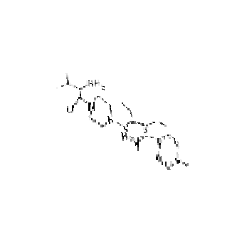 CCc1c(-c2ccc(C)cc2)nnc(N2CCN(C(=O)C(N)C(C)C)CC2)c1CC